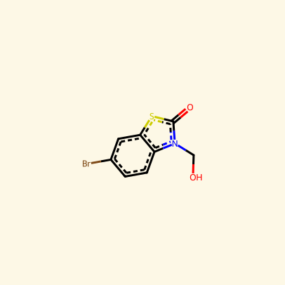 O=c1sc2cc(Br)ccc2n1CO